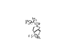 CC(O)(c1cncc(-c2ccc3c(c2)CCc2nnc(C(F)(F)F)n2-3)c1)C(F)(F)F